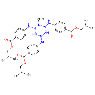 CCCCCCCCN1N(Nc2ccc(C(=O)OCC(CC)CCCC)cc2)NN(Nc2ccc(C(=O)OCC(CC)CCCC)cc2)NN1Nc1ccc(C(=O)OCC(CC)CCCC)cc1